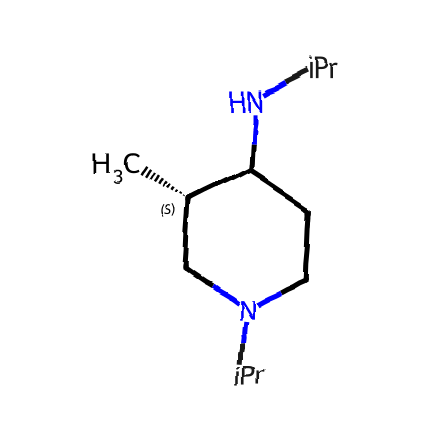 CC(C)NC1CCN(C(C)C)C[C@@H]1C